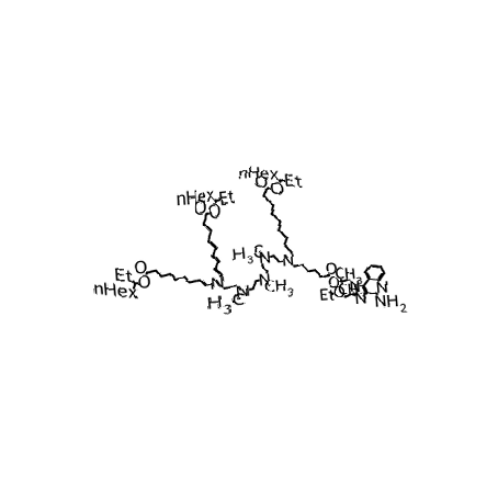 CCCCCCC(CC)OC(=O)CCCCCCCCN(CCCCCCCCC(=O)OC(CC)CCCCCC)CCN(C)CCN(C)CCN(C)CCN(CCCCCCCCC(=O)OC(CC)CCCCCC)CCCCCC(=O)OC(C)(C)Cn1c(COCC)nc2c(N)nc3ccccc3c21